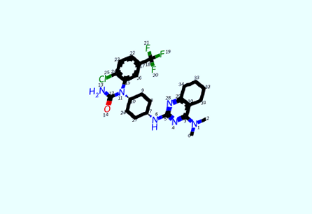 CN(C)c1nc(N[C@H]2CC[C@@H](N(C(N)=O)c3cc(C(F)(F)F)ccc3Cl)CC2)nc2c1CCCC2